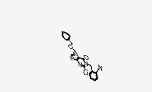 N#Cc1ccccc1Cn1c(Cl)nc2ncn(COCc3ccccc3)c2c1=O